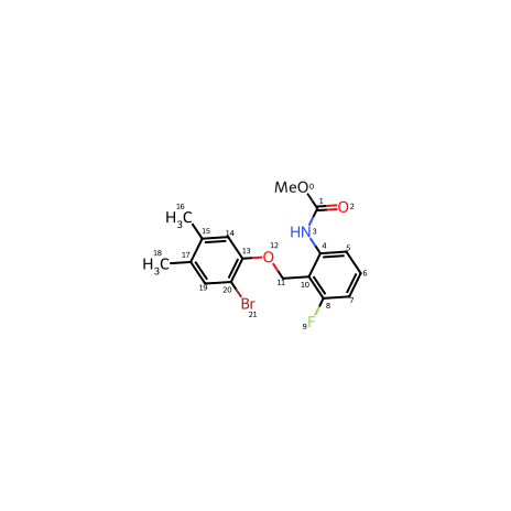 COC(=O)Nc1cccc(F)c1COc1cc(C)c(C)cc1Br